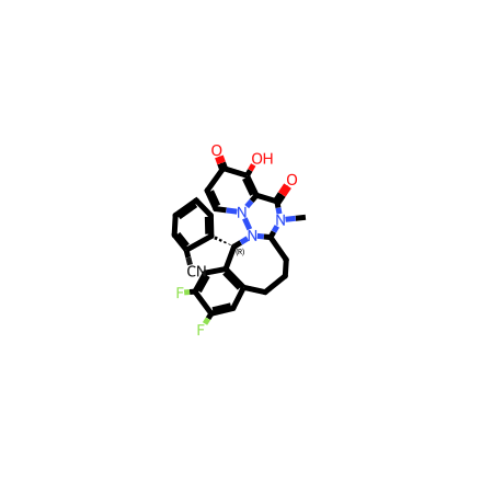 CN1C(=O)c2c(O)c(=O)ccn2N2C1CCCc1cc(F)c(F)cc1[C@@H]2c1ccccc1C#N